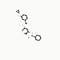 C1CC1.O=C(Nc1cnc(Cl)c(NC(=O)c2ccccc2)c1)c1cccc(F)c1